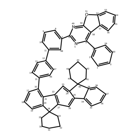 c1ccc(-c2nc(-c3cccc(-c4ccc(-c5cccc6c5-c5cc7c(cc5C65CCCCC5)-c5ccccc5C75CCCCC5)cc4)c3)nc3oc4ccccc4c23)cc1